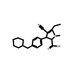 CCC1=C(C#N)C(c2ccc(CC3CCCCC3)cc2)C(C(=O)O)N1C